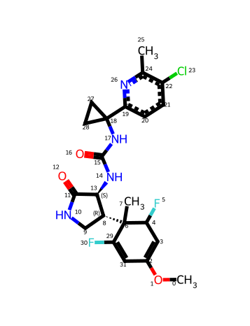 COC1=CC(F)C(C)([C@@H]2CNC(=O)[C@H]2NC(=O)NC2(c3ccc(Cl)c(C)n3)CC2)C(F)=C1